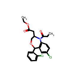 CCOC(=O)CC1COC(c2ccccc2Cl)c2cc(Cl)ccc2N1C(=O)CC